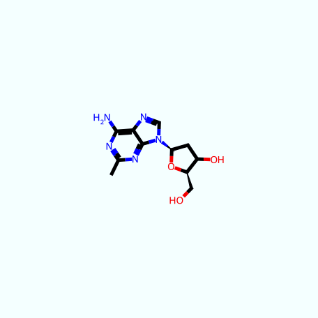 Cc1nc(N)c2ncn([C@H]3CC(O)[C@@H](CO)O3)c2n1